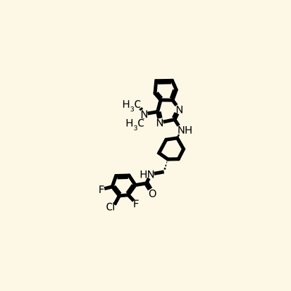 CN(C)c1nc(N[C@H]2CC[C@@H](CNC(=O)c3ccc(F)c(Cl)c3F)CC2)nc2ccccc12